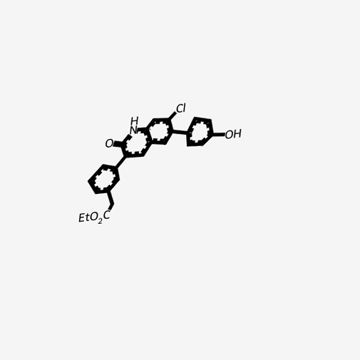 CCOC(=O)Cc1cccc(-c2cc3cc(-c4ccc(O)cc4)c(Cl)cc3[nH]c2=O)c1